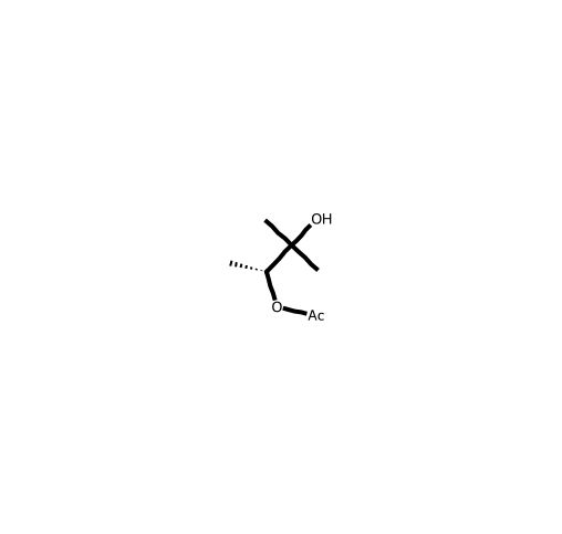 CC(=O)O[C@H](C)C(C)(C)O